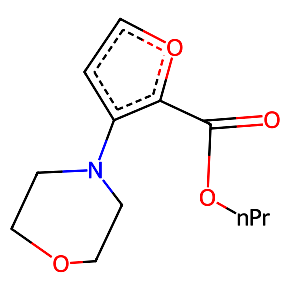 CCCOC(=O)c1occc1N1CCOCC1